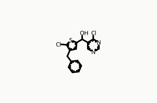 OC(c1cc(Cc2ccccc2)c(Cl)s1)c1cncnc1Cl